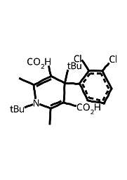 CC1=C(C(=O)O)C(c2cccc(Cl)c2Cl)(C(C)(C)C)C(C(=O)O)=C(C)N1C(C)(C)C